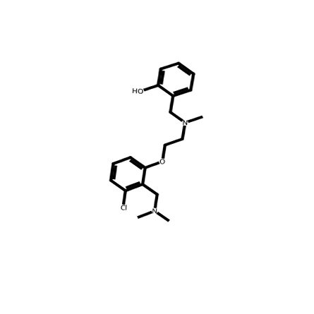 CN(C)Cc1c(Cl)cccc1OCCN(C)Cc1ccccc1O